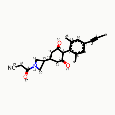 CC#Cc1cc(C)c(C2C(=O)CC(C3CN(C(=O)CC#N)C3)CC2=O)c(C)c1